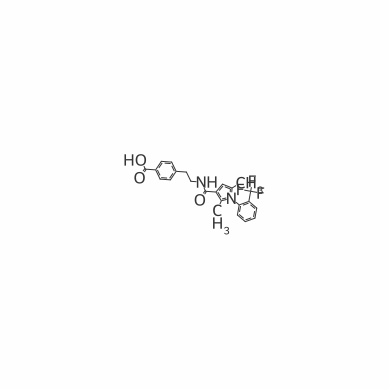 Cc1cc(C(=O)NCCc2ccc(C(=O)O)cc2)c(C)n1-c1ccccc1C(F)(F)F